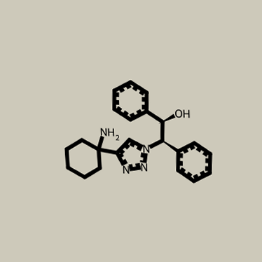 NC1(c2cn([C@H](c3ccccc3)[C@H](O)c3ccccc3)nn2)CCCCC1